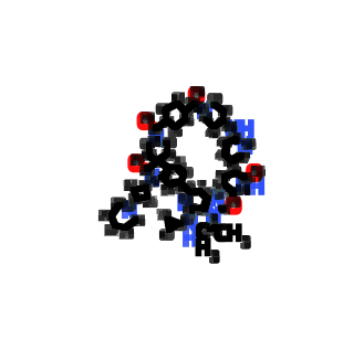 CC(C)n1cnc2cc(-c3ccc4c(c3)N(C3CC(N5CCCCC5)C3)C(=O)C43CCN(C(=O)C4CCC(C(=O)N5CCC(Nc6ccc([C@H]7CCC(=O)NC7=O)cn6)CC5)CC4)CC3)nc(NC3CC3)c21